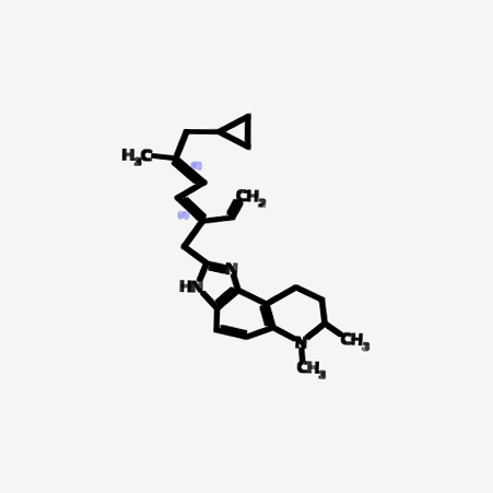 C=C/C(=C\C=C(/C)CC1CC1)Cc1nc2c3c(ccc2[nH]1)N(C)C(C)CC3